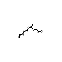 C=COCCOC(C)OCCO